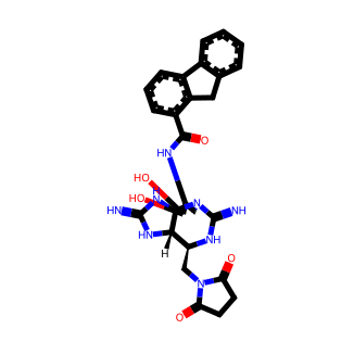 N=C1N[C@H]2[C@H](CN3C(=O)CCC3=O)NC(=N)N3CC(NC(=O)c4cccc5c4Cc4ccccc4-5)C(O)(O)[C@]23N1